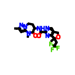 Cc1cc2n(n1)CCC(NC(=O)c1ncc3c(n1)C(C)(CC(F)(F)F)OC3)C(=O)N2C